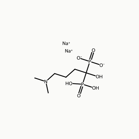 CN(C)CCCC(O)(P(=O)([O-])[O-])P(=O)(O)O.[Na+].[Na+]